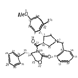 COc1ccc([C@@H]2CN(Cc3ccccc3)C[C@H]2C(=O)N2C(=O)OC[C@@H]2Cc2ccccc2)c(F)c1